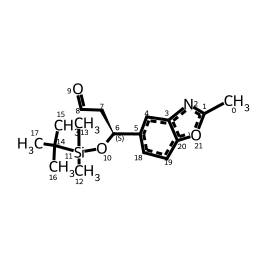 Cc1nc2cc([C@H](CC=O)O[Si](C)(C)C(C)(C)C)ccc2o1